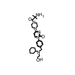 CC(C)(N)C(=O)N1CCN(c2ccn(-c3ccc(CN(CCO)C4CCCCC4)cc3)c(=O)n2)CC1